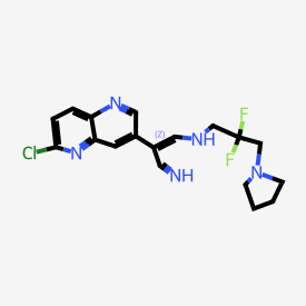 N=C/C(=C\NCC(F)(F)CN1CCCC1)c1cnc2ccc(Cl)nc2c1